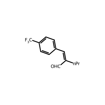 CCCC(C=O)=Cc1ccc(C(F)(F)F)cc1